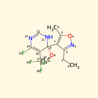 CCc1noc(C)c1C1(OC)NC=NC(F)=C1C(F)(F)F